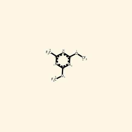 FC(F)(F)Oc1nc(OC(F)(F)F)nc(C(F)(F)F)n1